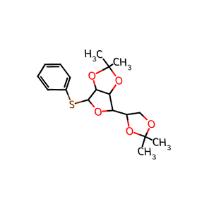 CC1(C)OCC(C2OC(Sc3ccccc3)C3OC(C)(C)OC23)O1